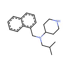 CC(C)CN(Cc1cccc2ccccc12)C1CCNCC1